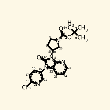 CC(C)(C)OC(=O)N1CC[C@H](n2c(=O)n(-c3ccc(Cl)nc3)c3cccnc32)C1